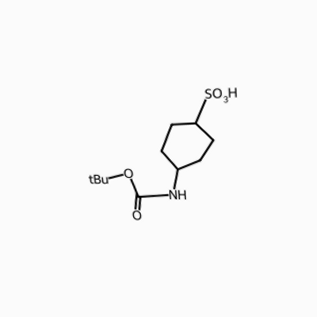 CC(C)(C)OC(=O)NC1CCC(S(=O)(=O)O)CC1